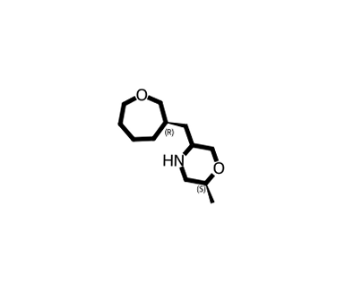 C[C@H]1CNC(C[C@H]2CCCCOC2)CO1